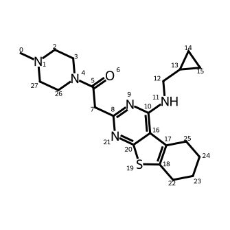 CN1CCN(C(=O)Cc2nc(NCC3CC3)c3c4c(sc3n2)CCCC4)CC1